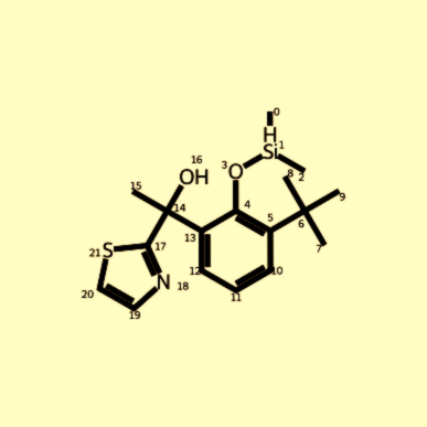 C[SiH](C)Oc1c(C(C)(C)C)cccc1C(C)(O)c1nccs1